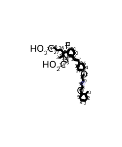 Cc1ccccc1OC/C=C/COc1ccc(C=Cc2ccc(F)c3c(CCCC(=O)O)c(C)n(CC(=O)O)c23)cc1